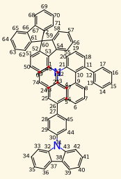 c1ccc(-c2ccccc2-c2c(-c3ccccc3)cccc2N(c2ccc(-c3ccc(-n4c5ccccc5c5ccccc54)cc3)cc2)c2cccc3c2-c2ccccc2C32c3ccccc3-c3ccccc32)cc1